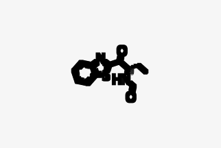 CC[C@H](NC=O)C(=O)c1nc2ccccc2s1